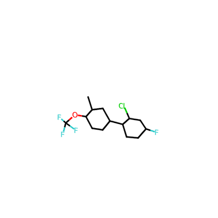 CC1CC(C2CCC(F)CC2Cl)CCC1OC(F)(F)F